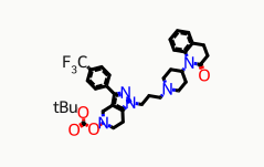 CC(C)(C)OC(=O)ON1CCc2c(c(-c3ccc(C(F)(F)F)cc3)nn2CCCN2CCC(N3C(=O)CCc4ccccc43)CC2)C1